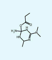 CCC(=O)OC1(N)NC(N(C)C)=NC(C)N1